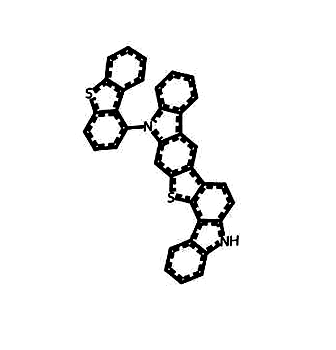 c1ccc2c(c1)[nH]c1ccc3c4cc5c6ccccc6n(-c6cccc7sc8ccccc8c67)c5cc4sc3c12